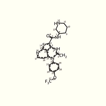 C=c1[nH]c2c(C(=O)NC3CCCNC3)sc3nccc(c32)n1-c1ccc(OC(F)(F)F)cc1